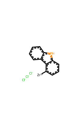 [Cl-].[Cl-].[Cl-].[Zr+3][c]1cccc2[pH]c3ccccc3c12